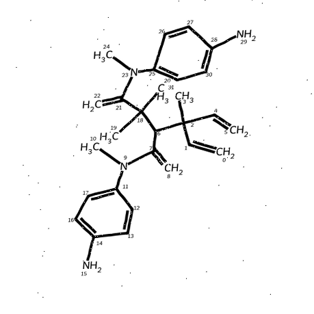 C=CC(C)(C=C)C(C(=C)N(C)c1ccc(N)cc1)C(C)(C)C(=C)N(C)c1ccc(N)cc1